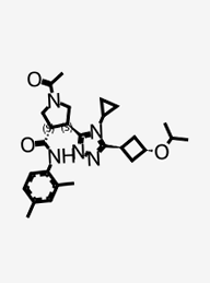 CC(=O)N1C[C@@H](C(=O)Nc2ccc(C)cc2C)[C@H](c2nnc([C@H]3C[C@H](OC(C)C)C3)n2C2CC2)C1